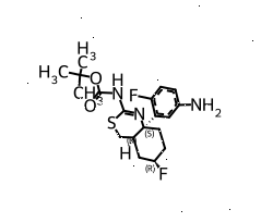 CC(C)(C)OC(=O)NC1=N[C@@]2(c3cc(N)ccc3F)CC[C@@H](F)C[C@H]2CS1